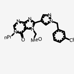 CCCn1cnc2nc(-c3cnn(Cc4cccc(C(F)(F)F)c4)c3)n(COC)c2c1=O